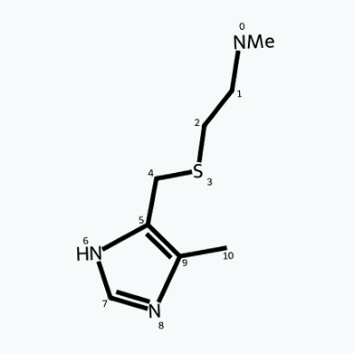 CNCCSCc1[nH]cnc1C